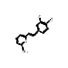 Nc1cccc(C=Cc2ccc(Cl)c(Cl)c2)n1